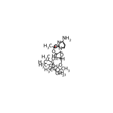 CC(=O)O[C@@H]1[C@@H]2O[Si](C(C)C)(C(C)C)O[Si](C(C)C)(C(C)C)OC[C@H]2O[C@H]1n1ccc(N)nc1=O